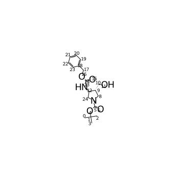 CC(C)(C)OC(=O)N1C[C@@H](CO)[C@H](NC(=O)OCc2ccccc2)C1